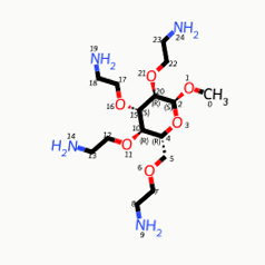 CO[C@H]1O[C@H](COCCN)[C@@H](OCCN)[C@H](OCCN)[C@H]1OCCN